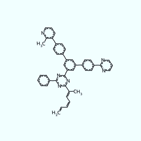 C=C/C=C\C=C(/C)c1nc(-c2ccccc2)nc(-c2cc(-c3ccc(-c4ncccn4)cc3)cc(-c3ccc(-c4cccnc4C)cc3)c2)n1